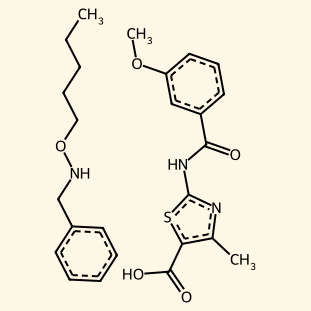 CCCCCONCc1ccccc1.COc1cccc(C(=O)Nc2nc(C)c(C(=O)O)s2)c1